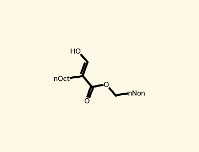 CCCCCCCCCCOC(=O)C(=CO)CCCCCCCC